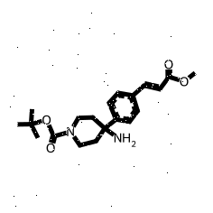 COC(=O)/C=C/c1ccc(C2(N)CCN(C(=O)OC(C)(C)C)CC2)cc1